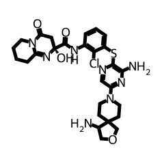 Nc1nc(N2CCC3(CC2)COCC3N)cnc1Sc1cccc(NC(=O)[C@@]2(O)CC(=O)N3CCCCC3=N2)c1Cl